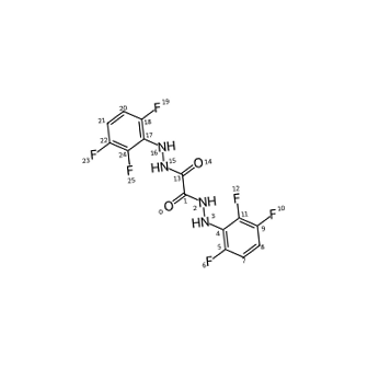 O=C(NNc1c(F)ccc(F)c1F)C(=O)NNc1c(F)ccc(F)c1F